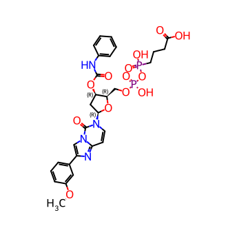 COc1cccc(-c2cn3c(=O)n([C@H]4C[C@@H](OC(=O)Nc5ccccc5)[C@@H](COP(=O)(O)OP(=O)(O)CCCC(=O)O)O4)ccc3n2)c1